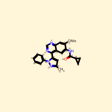 COc1cc2ncnc(-c3cc(C)nn3-c3ccccc3)c2cc1NC(=O)C1CC1